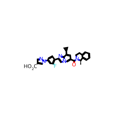 C[C@@H]1c2ccccc2CCN1C(=O)c1cc(C2CC2)c2nc(-c3ccc(-n4cc(C(=O)O)cn4)cc3F)cn2c1